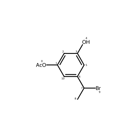 CC(=O)Oc1cc(O)cc(C(C)Br)c1